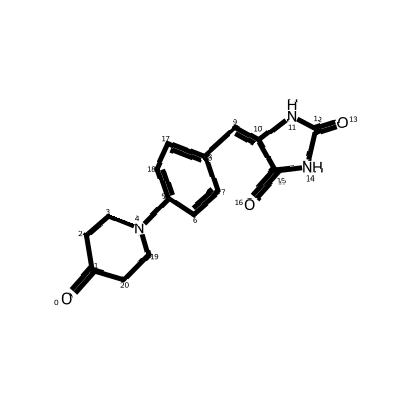 O=C1CCN(c2ccc(C=C3NC(=O)NC3=O)cc2)CC1